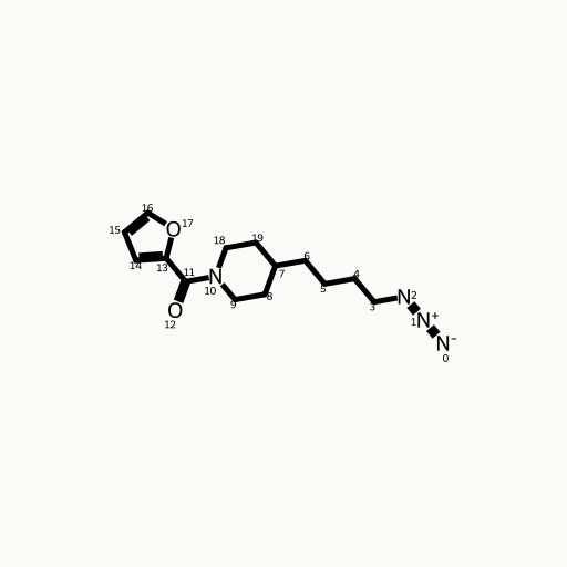 [N-]=[N+]=NCCCCC1CCN(C(=O)c2ccco2)CC1